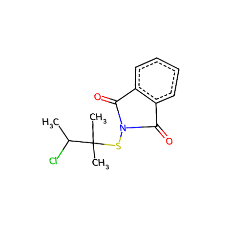 CC(Cl)C(C)(C)SN1C(=O)c2ccccc2C1=O